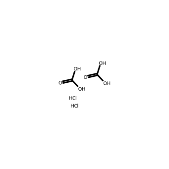 Cl.Cl.O=C(O)O.O=C(O)O